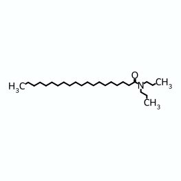 CCCCCCCCCCCCCCCCCCCC(=O)N(CCC)CCC